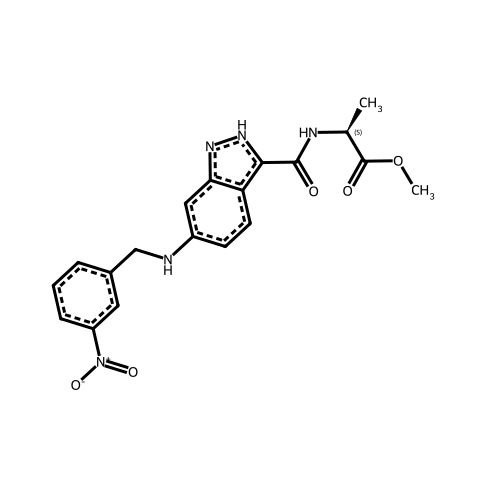 COC(=O)[C@H](C)NC(=O)c1[nH]nc2cc(NCc3cccc([N+](=O)[O-])c3)ccc12